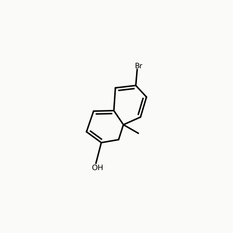 CC12C=CC(Br)=CC1=CC=C(O)C2